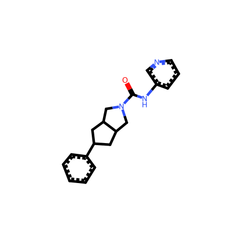 O=C(Nc1cccnc1)N1CC2CC(c3ccccc3)CC2C1